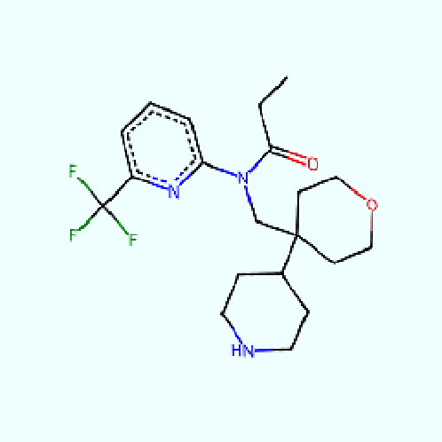 CCC(=O)N(CC1(C2CCNCC2)CCOCC1)c1cccc(C(F)(F)F)n1